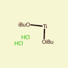 CC(C)C[O][Ti][O]CC(C)C.Cl.Cl